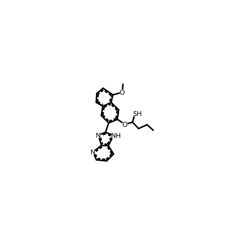 CCCC(S)Oc1cc2c(OC)cccc2cc1-c1nc2ncccc2[nH]1